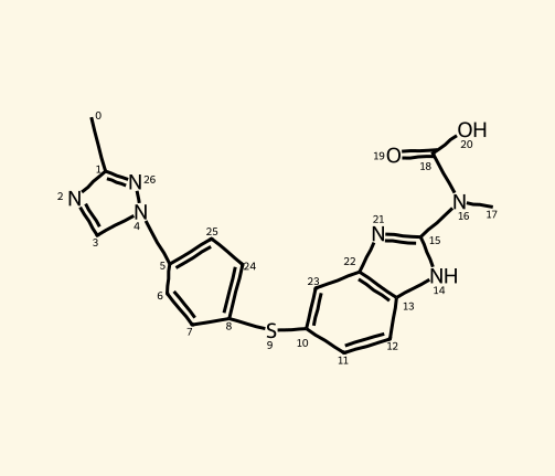 Cc1ncn(-c2ccc(Sc3ccc4[nH]c(N(C)C(=O)O)nc4c3)cc2)n1